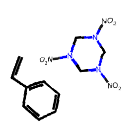 C=Cc1ccccc1.O=[N+]([O-])N1CN([N+](=O)[O-])CN([N+](=O)[O-])C1